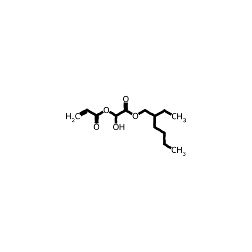 C=CC(=O)OC(O)C(=O)OCC(CC)CCCC